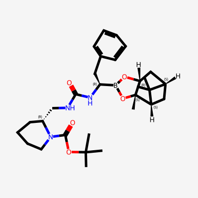 CC(C)(C)OC(=O)N1CCCC[C@@H]1CNC(=O)N[C@@H](Cc1ccccc1)B1O[C@@H]2C[C@@H]3C[C@@H](C3(C)C)[C@]2(C)O1